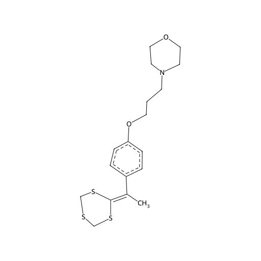 CC(=C1SCSCS1)c1ccc(OCCCN2CCOCC2)cc1